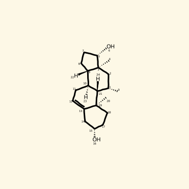 C[C@H]1C[C@]2(C)[C@@H](O)CC[C@H]2[C@@H]2CC=C3C[C@@H](O)CC[C@]3(C)[C@H]21